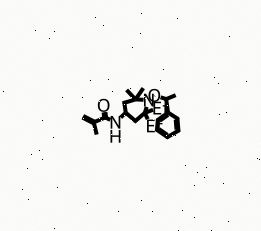 C=C(C)C(=O)NC1CC(C)(C)N(OC(C)c2ccccc2)C(CC)(CC)C1